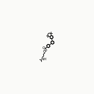 CC(C)NCCCCOOC(=O)c1ccc(-c2cccc(-c3ccc4c(c3)C(C)(C)CCC4(C)C)c2)cc1